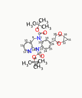 CC(C)(C)OC(=O)N1Cc2cccnc2N(C(=O)OC(C)(C)C)c2ccc(C3COC4CC4O3)cc21